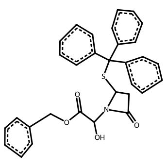 O=C(OCc1ccccc1)C(O)N1C(=O)CC1SC(c1ccccc1)(c1ccccc1)c1ccccc1